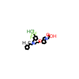 C[C@H](CN(CCCOc1cccc2c1ccn2CC(=O)O)Cc1cccc(C(F)(F)F)c1F)c1ccccc1.Cl